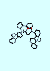 c1ccc(-c2ccccc2N(c2ccc(-c3cccc4oc5c6ccccc6ccc5c34)cc2)c2ccc3c(c2)oc2ccccc23)cc1